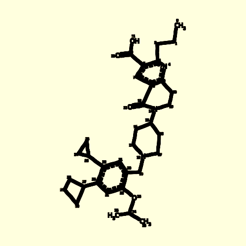 CCCc1nc2c(cc1C(=O)O)C(=O)N(C1CCN(Cc3cc(C4CC4)c(C4CCC4)cc3OC(C)C)CC1)CC2